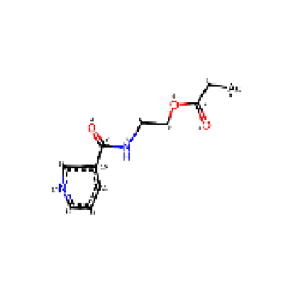 CC(=O)CC(=O)OCCNC(=O)c1cccnc1